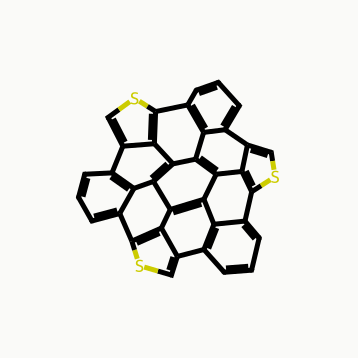 c1cc2c3csc4c5cccc6c7csc8c9cccc%10c%11csc%12c(c1)c2c1c(c34)c(c65)c(c78)c(c%109)c1c%11%12